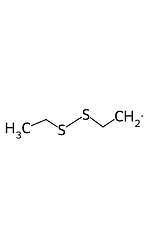 [CH2]CSSCC